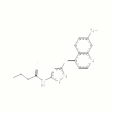 CCCC(=O)Nc1nnc(Sc2ccnc3cc(N)ccc23)s1